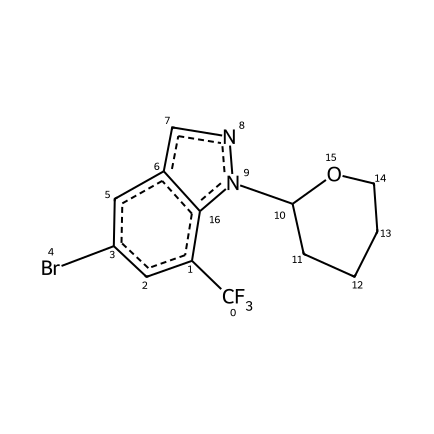 FC(F)(F)c1cc(Br)cc2cnn(C3CCCCO3)c12